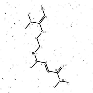 CC/C=C(/OCCNC(C)/C=C/C(=O)N(C)C)N(C)C